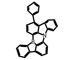 c1ccc(-c2ccc3c4c2c2ccccc2n4-c2cccc4c2B3c2ccccc2-4)cc1